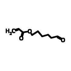 C=CC(=O)OCCCCCC=O